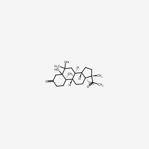 CC(=O)[C@@]1(C)CC[C@H]2[C@@H]3CC(C)(O)C4(O)CC(=O)CC[C@]4(C)[C@H]3CC[C@@]21C